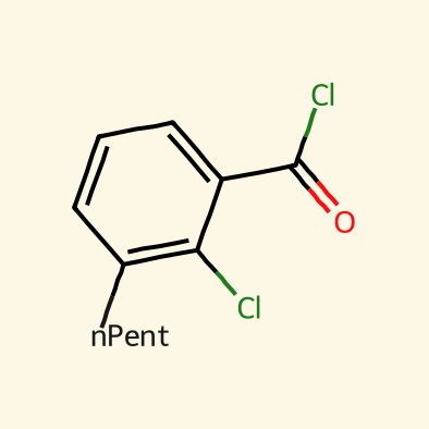 CCCCCc1cccc(C(=O)Cl)c1Cl